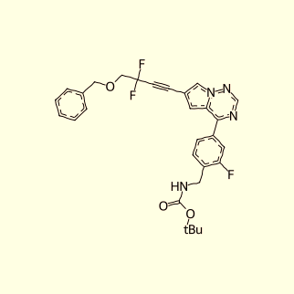 CC(C)(C)OC(=O)NCc1ccc(-c2ncnn3cc(C#CC(F)(F)COCc4ccccc4)cc23)cc1F